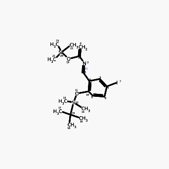 C=C(/N=C/c1cc(I)ccc1O[Si](C)(C)C(C)(C)C)O[Si](C)(C)C